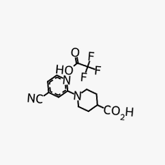 N#Cc1ccnc(N2CCC(C(=O)O)CC2)c1.O=C(O)C(F)(F)F